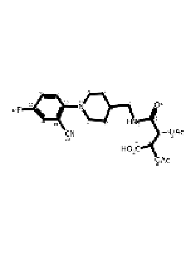 CC(=O)OC(C(=O)O)[C@@H](OC(C)=O)C(=O)NCC1CCN(c2ccc(F)cc2C#N)CC1